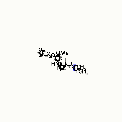 C=C/C=N\C(=C/C)CCNc1ccnc(Nc2ccc(OC)c(OCCCN3CCCC3)c2)n1